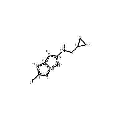 Ic1cn2nc(NCC3CC3)sc2n1